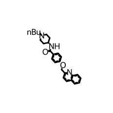 CCCCN1CCC(NC(=O)c2ccc(OCc3ccc4ccccc4n3)cc2)CC1